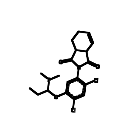 CCC(Oc1cc(N2C(=O)C3C=CCCC3C2=O)c(Cl)cc1Cl)P(C)C